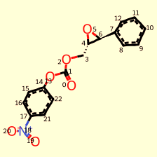 O=C(OC[C@@H]1O[C@H]1c1ccccc1)Oc1ccc([N+](=O)[O-])cc1